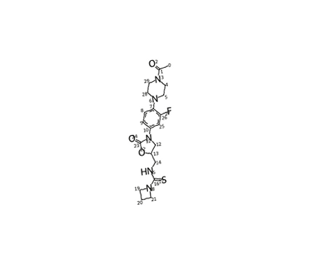 CC(=O)N1CCN(c2ccc(N3CC(CNC(=S)N4CCC4)OC3=O)cc2F)CC1